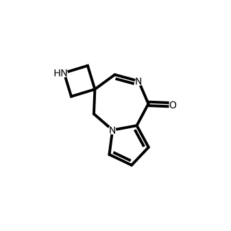 O=C1N=CC2(CNC2)Cn2cccc21